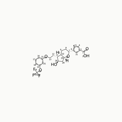 O=C(O)c1csc([C@H]2CC[C@@H]3[C@@H](CCOc4cccc(OC(F)(F)F)c4)[C@H](O)C[C@@H]3O2)c1